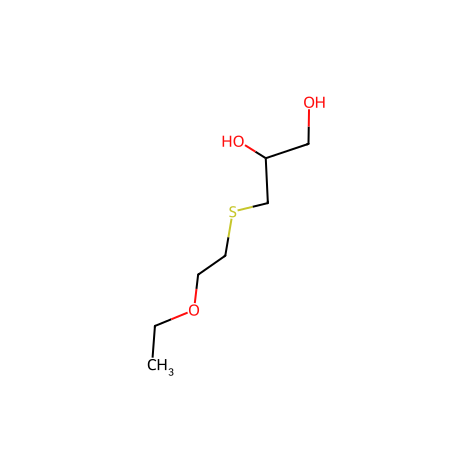 CCOCCSCC(O)CO